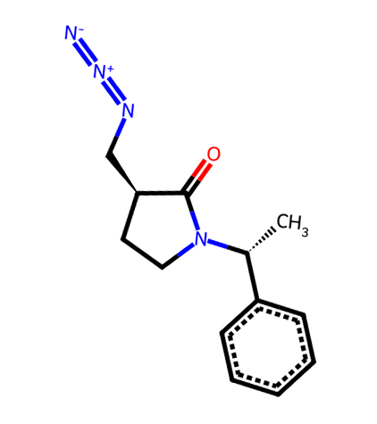 C[C@H](c1ccccc1)N1CC[C@@H](CN=[N+]=[N-])C1=O